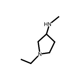 CCN1CCC(NC)C1